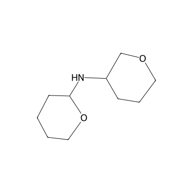 C1CCC(NC2CCCOC2)OC1